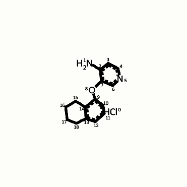 Cl.Nc1ccncc1Oc1cccc2c1CCCC2